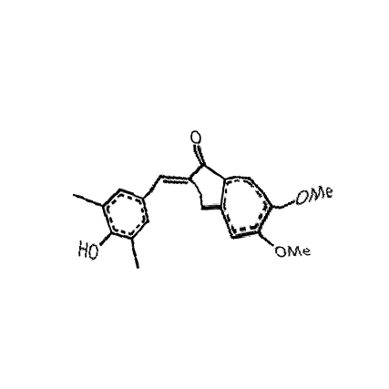 COc1cc2c(cc1OC)C(=O)C(=Cc1cc(C)c(O)c(C)c1)C2